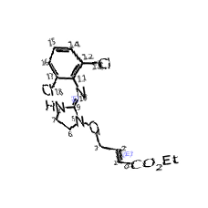 CCOC(=O)/C=C/CON1CCN/C1=N\c1c(Cl)cccc1Cl